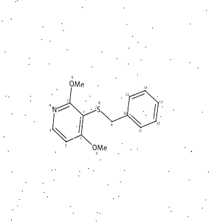 COc1ccnc(OC)c1SCc1ccccc1